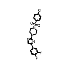 O=S(=O)(c1ccc(Cl)cc1)N1CCN(c2nc(-c3ccc(F)c(F)c3)cs2)CC1